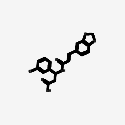 O=C(O)CC(NC(=O)/C=C/c1ccc2c(c1)OCO2)c1cccc(Cl)c1